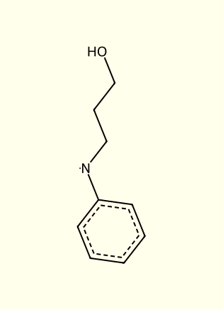 OCCC[N]c1ccccc1